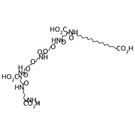 N[C@@H](CCCCNC(=O)CC[C@H](NC(=O)COCCOCCNC(=O)COCCOCCNC(=O)CC[C@H](NC(=O)CCCCCCCCCCCCCCCCC(=O)O)C(=O)O)C(=O)O)C(=O)O